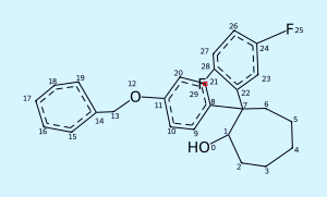 OC1CCCCCC1(c1ccc(OCc2ccccc2)cc1)c1cc(F)ccc1F